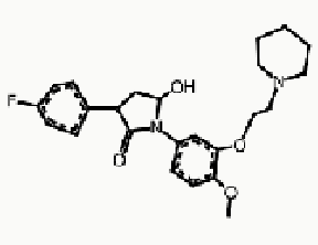 COc1ccc(N2C(=O)C(c3ccc(F)cc3)CC2O)cc1OCCN1CCCCC1